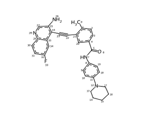 Cc1ccc(C(=O)Nc2ccc(N3CCCCC3)cc2)cc1C#Cc1c(N)cnc2ccc(F)cc12